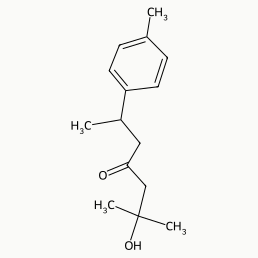 Cc1ccc(C(C)CC(=O)CC(C)(C)O)cc1